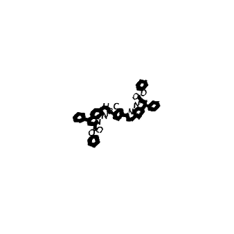 Cc1cc(-c2ccc3ccc4c(-c5ccccc5)cc(C(=O)Oc5ccccc5)nc4c3n2)ccc1-c1ccc2ccc3c(-c4ccccc4)cc(C(=O)Oc4ccccc4)nc3c2n1